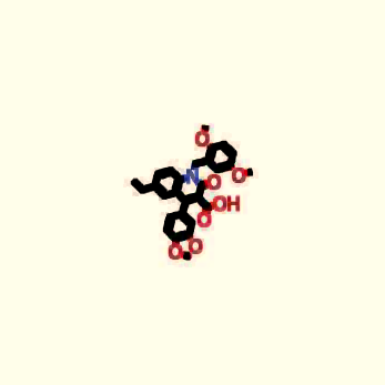 CCc1ccc2c(c1)c(-c1ccc3c(c1)OCO3)c(C(=O)O)c(=O)n2Cc1cc(OC)ccc1OC